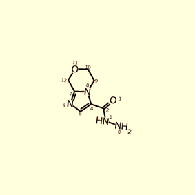 NNC(=O)c1cnc2n1CCOC2